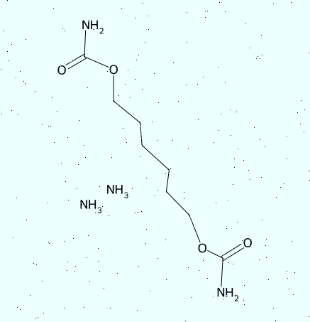 N.N.NC(=O)OCCCCCCOC(N)=O